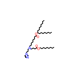 CCCCCCCCCOC(=O)CCCN(CCCCCCCC(=O)OC(CCCCCCCC)CCCCCCCC)CCCn1ccnc1